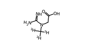 [2H]C([2H])([2H])N(CC(=O)O)C(=N)N